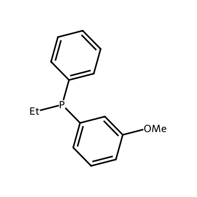 CCP(c1ccccc1)c1cccc(OC)c1